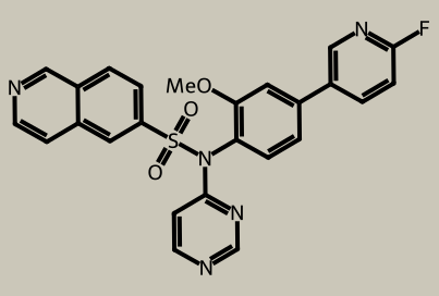 COc1cc(-c2ccc(F)nc2)ccc1N(c1ccncn1)S(=O)(=O)c1ccc2cnccc2c1